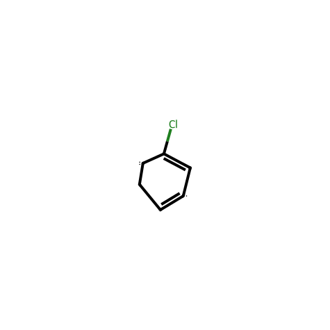 ClC1=C[C]=CC[C]1